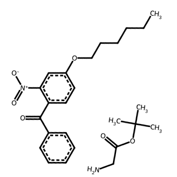 CC(C)(C)OC(=O)CN.CCCCCCOc1ccc(C(=O)c2ccccc2)c([N+](=O)[O-])c1